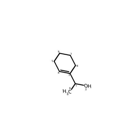 CC(O)C1=CCCCC1